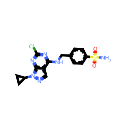 NS(=O)(=O)c1ccc(CNc2nc(Cl)nc3c2cnn3C2CC2)cc1